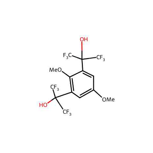 COc1cc(C(O)(C(F)(F)F)C(F)(F)F)c(OC)c(C(O)(C(F)(F)F)C(F)(F)F)c1